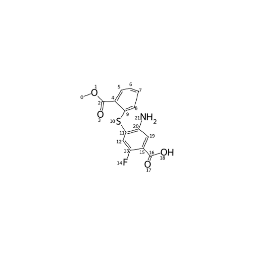 COC(=O)c1ccccc1Sc1cc(F)c(C(=O)O)cc1N